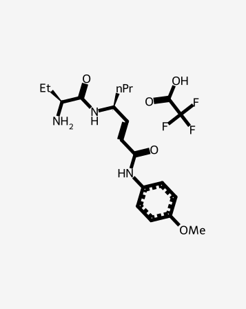 CCC[C@@H](C=CC(=O)Nc1ccc(OC)cc1)NC(=O)[C@@H](N)CC.O=C(O)C(F)(F)F